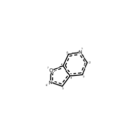 [c]1nccc2cnoc12